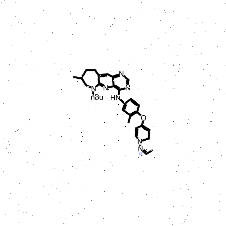 C/C=N\N1C=CC(Oc2ccc(Nc3ncnc4cc5c(nc34)N(CCCC)CC(C)CC5)cc2C)=CC1